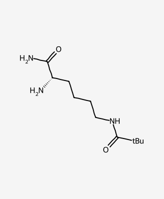 CC(C)(C)C(=O)NCCCC[C@H](N)C(N)=O